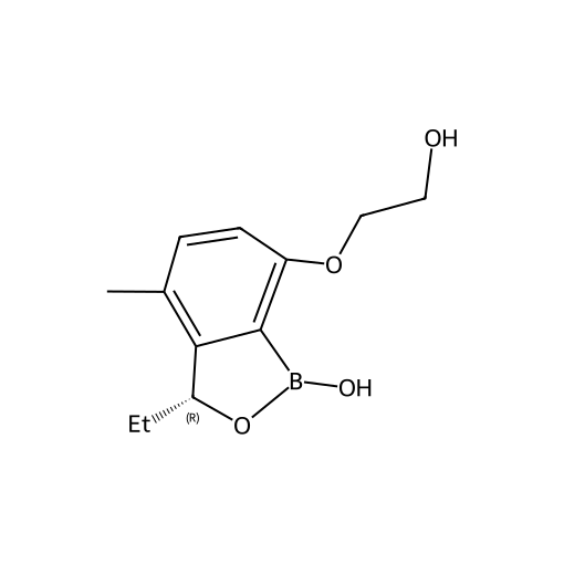 CC[C@H]1OB(O)c2c(OCCO)ccc(C)c21